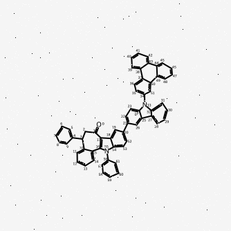 O=C1CC(c2ccccc2)c2ccccc2-c2c1c1cc(-c3ccc4c(c3)c3ccccc3n4-c3ccc4c5ccccc5c5ccccc5c4c3)ccc1n2-c1ccccc1